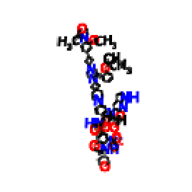 COc1cc(C2CC(N3CCN(C4CC5(CCN(c6ccc(C(=O)NS(=O)(=O)c7cc8c(c([N+](=O)[O-])c7)N[C@H](C7CCOCC7)CO8)c(N7c8cc9cc[nH]c9nc8O[C@H]8COCC[C@@H]87)c6)CC5)C4)[C@H](c4ccccc4OC(C)C)C3)C2)ccc1N1CCOC[C@H]1C